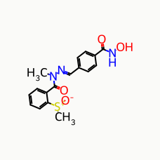 CN(N=Cc1ccc(C(=O)NO)cc1)C(=O)c1ccccc1[S+](C)[O-]